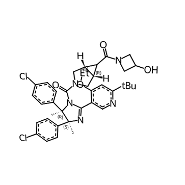 CCOc1cc(C(C)(C)C)ncc1C1=N[C@@](C)(c2ccc(Cl)cc2)[C@@](C)(c2ccc(Cl)cc2)N1C(=O)N1C[C@@H]2C(C(=O)N3CC(O)C3)[C@@H]2C1